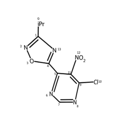 CC(C)c1noc(-c2ncnc(Cl)c2[N+](=O)[O-])n1